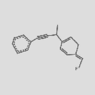 CC(C)C=C1C=CC(C(C)C#Cc2ccccc2)=CC1